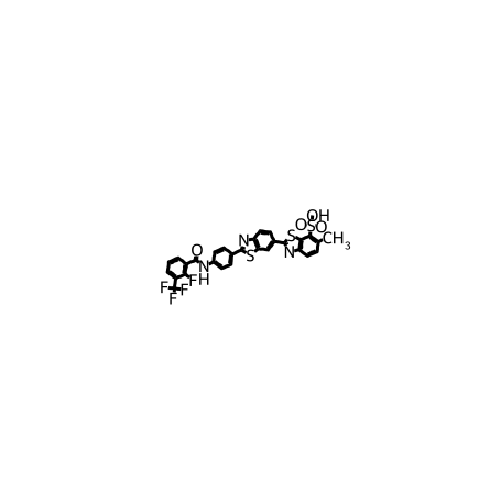 Cc1ccc2nc(-c3ccc4nc(-c5ccc(NC(=O)c6cccc(C(F)(F)F)c6F)cc5)sc4c3)sc2c1S(=O)(=O)O